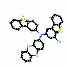 Clc1cc(N(c2ccc3c(c2)Oc2ccccc2O3)c2ccc3sc4ccccc4c3c2)cc2c1sc1ccccc12